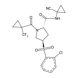 N#CC1(NC(=O)[C@@H]2C[C@@H](S(=O)(=O)c3ccccc3Cl)CN2C(=O)C2(C(F)(F)F)CC2)CC1